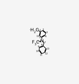 [CH2]c1cccc(N(Cc2ccccc2)C(F)(F)F)c1